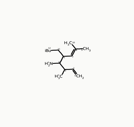 C=CC(C)C(N)C(C=C(C)C)CC(C)CC